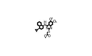 COC(=O)CSc1nc(Nc2ccc(C3CC3)c3ccccc23)c2cc(OC)c(OC)cc2n1